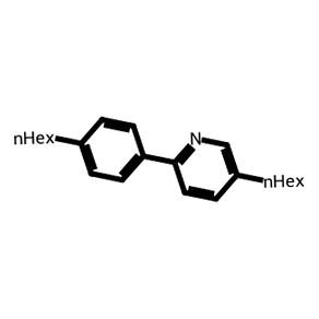 CCCCCCc1ccc(-c2ccc(CCCCCC)cn2)cc1